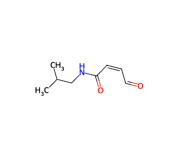 CC(C)CNC(=O)/C=C\C=O